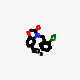 O=C1COc2ccc([N+](=O)[O-])cc2N1Cc1ccccc1Cl